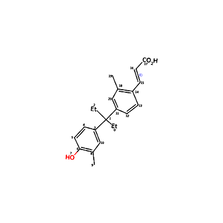 CCC(CC)(c1ccc(O)c(C)c1)c1ccc(/C=C/C(=O)O)c(C)c1